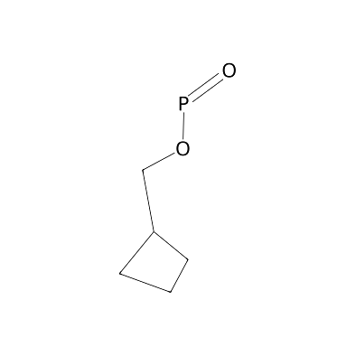 O=POCC1CCC1